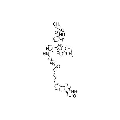 CCCS(=O)(=O)Nc1cccc(-c2nc(C(C)(C)C)sc2-c2ccnc(NC3CC4(C3)CN(C(=O)CCCCCc3ccc5c(c3)C(=O)N([C@@H]3CCC(=O)NC3=O)C5)C4)n2)c1F